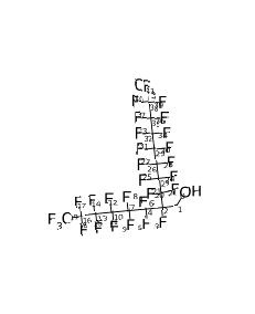 OCC(F)(C(F)(F)C(F)(F)C(F)(F)C(F)(F)C(F)(F)C(F)(F)F)C(F)(F)C(F)(F)C(F)(F)C(F)(F)C(F)(F)C(F)(F)C(F)(F)C(F)(F)F